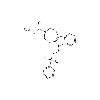 CC(C)(C)OC(=O)N1CCc2c(n(CCS(=O)(=O)c3ccccc3)c3ccccc23)CC1